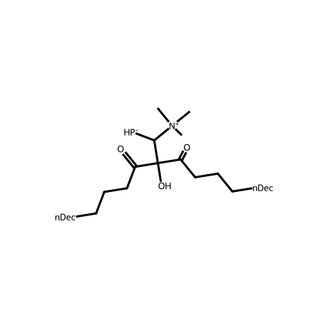 CCCCCCCCCCCCCC(=O)C(O)(C(=O)CCCCCCCCCCCCC)C([PH-])[N+](C)(C)C